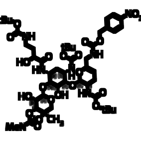 CNC(=O)O[C@@H]1[C@@H](O)[C@@H](O[C@@H]2[C@@H](O)[C@H](O[C@H]3OC(CNC(=O)OCc4ccc([N+](=O)[O-])cc4)=CC[C@H]3NC(=O)OC(C)(C)C)[C@@H](NC(=O)OC(C)(C)C)C[C@H]2NC(=O)C(O)CCNC(=O)OC(C)(C)C)OC[C@@]1(C)O